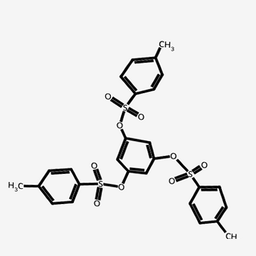 Cc1ccc(S(=O)(=O)Oc2cc(OS(=O)(=O)c3ccc(C)cc3)cc(OS(=O)(=O)c3ccc(C)cc3)c2)cc1